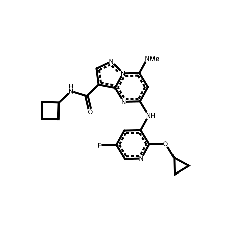 CNc1cc(Nc2cc(F)cnc2OC2CC2)nc2c(C(=O)NC3CCC3)cnn12